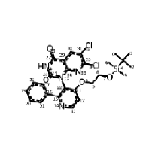 CC(C)(C)[Si](C)(C)OCCOc1ccnc(-c2ccccc2)c1-n1c(=O)[nH]c(=O)c2cc(Cl)c(Cl)nc21